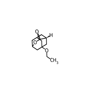 CCOC12CC3CC(C1)OC(=O)[C@H](C3)C2